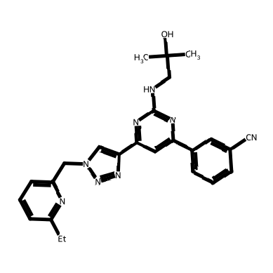 CCc1cccc(Cn2cc(-c3cc(-c4cccc(C#N)c4)nc(NCC(C)(C)O)n3)nn2)n1